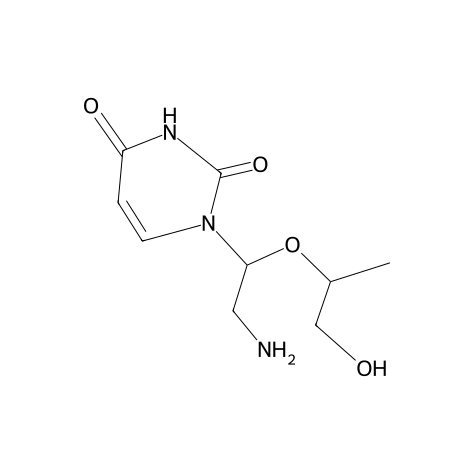 CC(CO)OC(CN)n1ccc(=O)[nH]c1=O